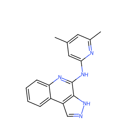 Cc1cc(C)nc(Nc2nc3ccccc3c3cn[nH]c23)c1